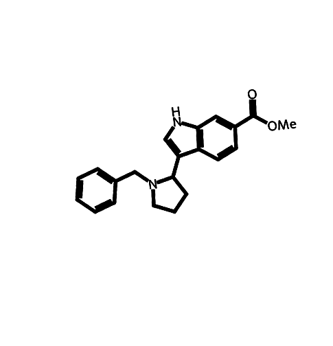 COC(=O)c1ccc2c(C3CCCN3Cc3ccccc3)c[nH]c2c1